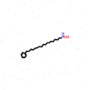 ONCCCCCCCCCCCCCCCCCCc1ccccc1